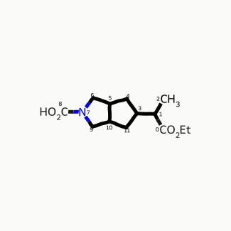 CCOC(=O)C(C)C1CC2CN(C(=O)O)CC2C1